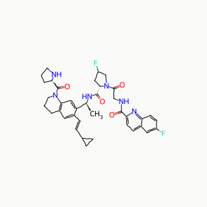 C[C@H](NC(=O)[C@@H]1C[C@@H](F)CN1C(=O)CNC(=O)c1ccc2cc(F)ccc2n1)c1cc2c(cc1/C=C/C1CC1)CCCN2C(=O)[C@H]1CCCN1